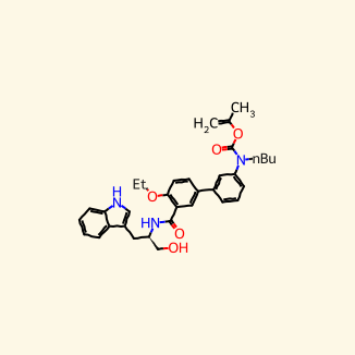 C=C(C)OC(=O)N(CCCC)c1cccc(-c2ccc(OCC)c(C(=O)N[C@@H](CO)Cc3c[nH]c4ccccc34)c2)c1